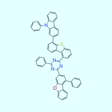 c1ccc(-c2nc(-c3cc(-c4ccccc4)c4c(c3)oc3ccccc34)nc(-c3cccc4sc5c(-c6ccc7c8ccccc8n(-c8ccccc8)c7c6)cccc5c34)n2)cc1